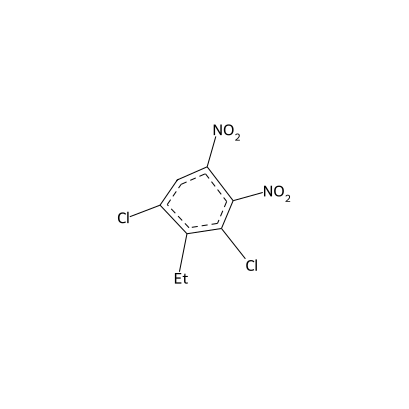 CCc1c(Cl)cc([N+](=O)[O-])c([N+](=O)[O-])c1Cl